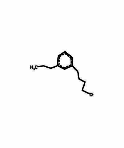 CCCc1cccc(CCCC[O])c1